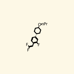 CCCO[C@H]1CC[C@H](c2ccc(C=C(F)F)c(F)c2)CC1